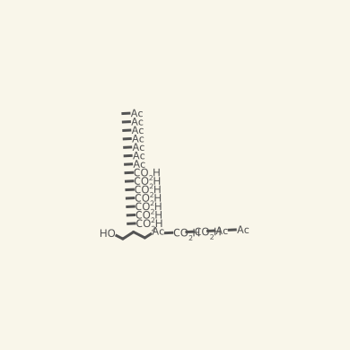 CC(=O)CCCO.CC(=O)O.CC(=O)O.CC(=O)O.CC(=O)O.CC(=O)O.CC(=O)O.CC(=O)O.CC(=O)O.CC(=O)O.CC(C)=O.CC(C)=O.CC(C)=O.CC(C)=O.CC(C)=O.CC(C)=O.CC(C)=O.CC(C)=O.CC(C)=O